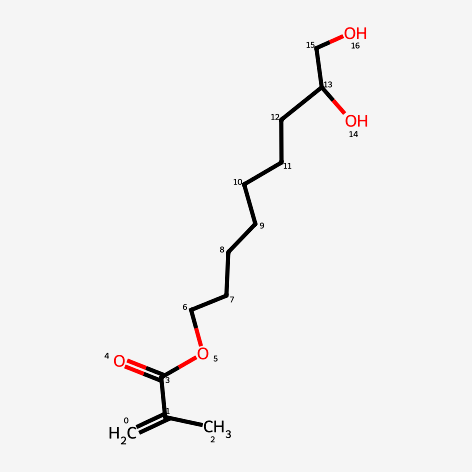 C=C(C)C(=O)OCCCCCCCC(O)CO